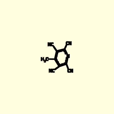 Cc1c(C#N)c(C#N)nc(C#N)c1C#N